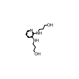 OCCCNc1cccnc1NCCCO